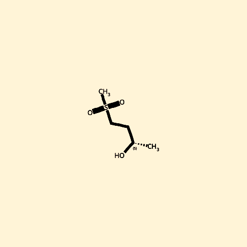 C[C@H](O)CCS(C)(=O)=O